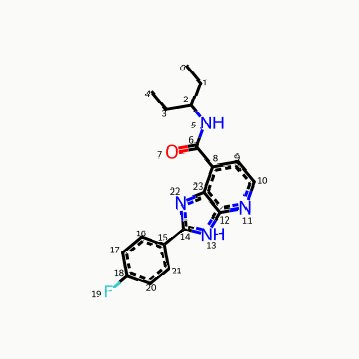 CCC(CC)NC(=O)c1ccnc2[nH]c(-c3ccc(F)cc3)nc12